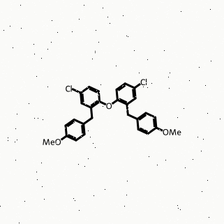 COc1ccc(Cc2cc(Cl)ccc2Oc2ccc(Cl)cc2Cc2ccc(OC)cc2)cc1